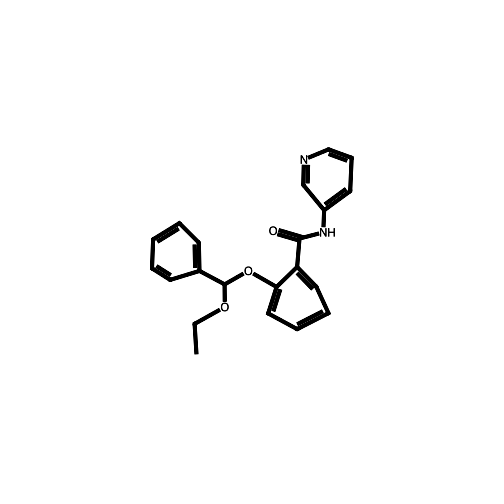 CCOC(Oc1ccccc1C(=O)Nc1cccnc1)c1ccccc1